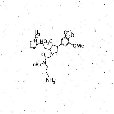 CCCCN(CCCN)C(=O)CN1C[C@H](c2cc(OC)c3c(c2)OCO3)[C@@H](C(=O)O)[C@@H]1CCc1cccn1C